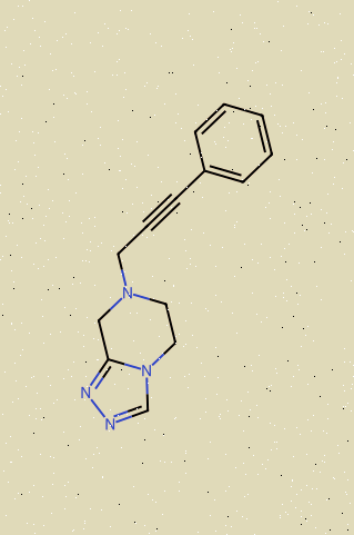 C(#Cc1ccccc1)CN1CCn2cnnc2C1